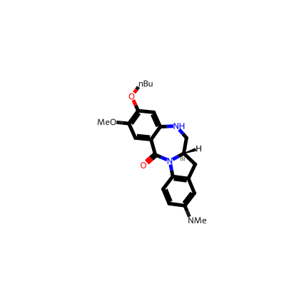 CCCCOc1cc2c(cc1OC)C(=O)N1c3ccc(NC)cc3C[C@H]1CN2